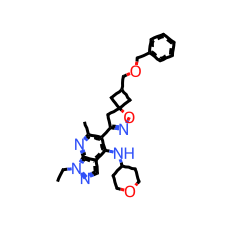 CCn1ncc2c(NC3CCOCC3)c(C3=NOC4(C3)CC(COCc3ccccc3)C4)c(C)nc21